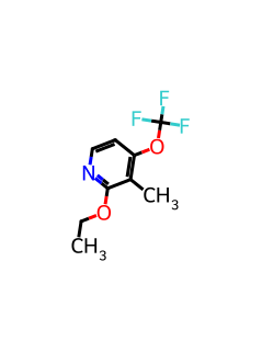 CCOc1nccc(OC(F)(F)F)c1C